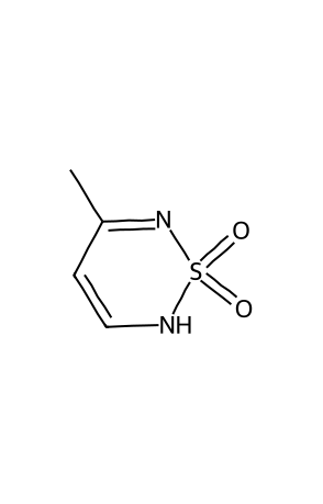 CC1=NS(=O)(=O)NC=C1